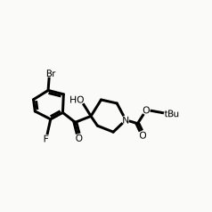 CC(C)(C)OC(=O)N1CCC(O)(C(=O)c2cc(Br)ccc2F)CC1